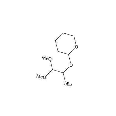 CCCCC(OC1CCCCO1)C(OC)OC